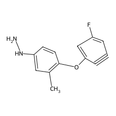 Cc1cc(NN)ccc1Oc1c#ccc(F)c1